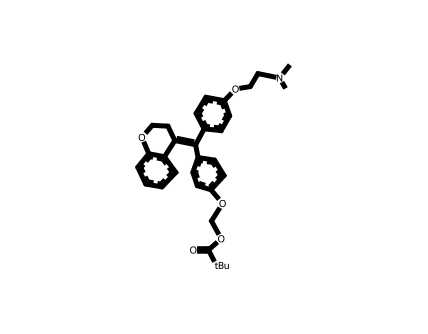 CN(C)CCOc1ccc(C(=C2CCOc3ccccc32)c2ccc(OCOC(=O)C(C)(C)C)cc2)cc1